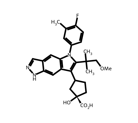 COCC(C)(C)c1c(C2CC[C@@](O)(C(=O)O)C2)c2cc3[nH]ncc3cc2n1-c1ccc(F)c(C)c1